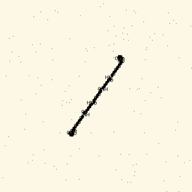 O=C(CCCCCCCNC(=O)CCOCCOCCC(=O)NCCCCCCCC(=O)NCCOCCOCCOCCC(=O)ON1C(=O)CCC1=O)NCCOCCOCCOCCC(=O)ON1C(=O)CCC1=O